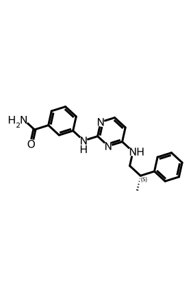 C[C@H](CNc1ccnc(Nc2cccc(C(N)=O)c2)n1)c1ccccc1